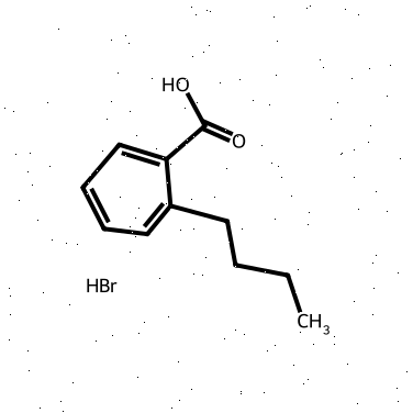 Br.CCCCc1ccccc1C(=O)O